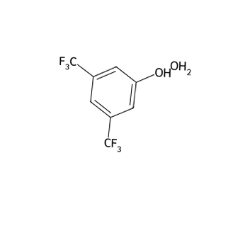 O.Oc1cc(C(F)(F)F)cc(C(F)(F)F)c1